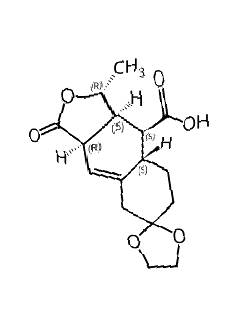 C[C@H]1OC(=O)[C@@H]2C=C3CC4(CC[C@H]3[C@H](C(=O)O)[C@H]12)OCCO4